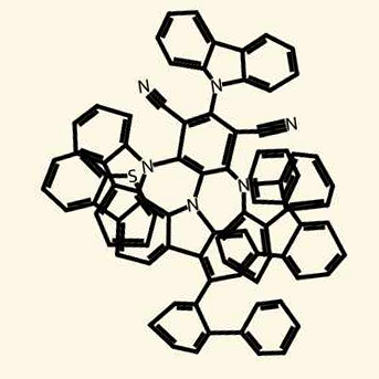 N#Cc1c(-n2c3ccccc3c3ccccc32)c(C#N)c(-n2c3ccccc3c3ccccc32)c(-n2c3cc(-c4ccccc4-c4ccccc4)cc(-c4ccccc4-c4ccccc4)c3c3ccc4c5ccccc5sc4c32)c1-n1c2ccccc2c2ccccc21